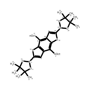 CCCCCCCCc1c2cc(B3OC(C)(C)C(C)(C)O3)sc2c(CCCCCCCC)c2cc(B3OC(C)(C)C(C)(C)O3)sc12